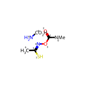 CNC(=O)ON=C(C)S.NC(=O)O